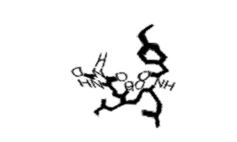 CCc1ccc(CC(=O)NC(CC(C)C)C(O)CC(CC(C)C)C(=O)CC2NC(=O)NC2=O)cc1